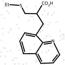 CCSCC(Cc1cccc2cccnc12)C(=O)O